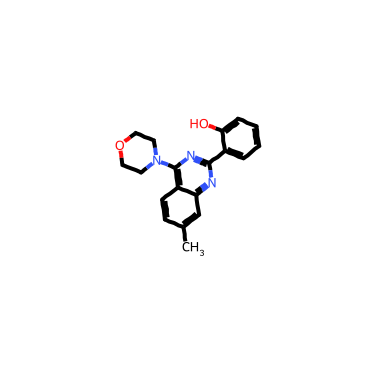 Cc1ccc2c(N3CCOCC3)nc(-c3ccccc3O)nc2c1